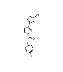 O=C(Cc1ccc(F)cc1)N1CCC(c2ccc(Cl)s2)=N1